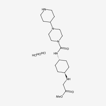 COC(=O)CN[C@H]1CC[C@H](NC(=O)N2CCN(C3CCNCC3)CC2)CC1.Cl.Cl.Cl